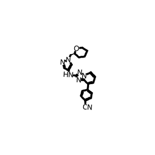 N#Cc1ccc(-c2cccn3nc(Nc4cnn(C[C@@H]5CCCCO5)c4)nc23)cc1